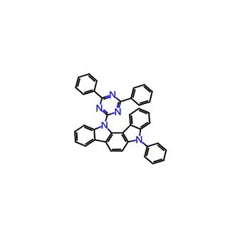 c1ccc(-c2nc(-c3ccccc3)nc(-n3c4ccccc4c4ccc5c(c6ccccc6n5-c5ccccc5)c43)n2)cc1